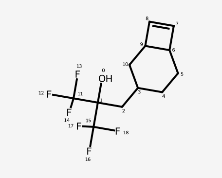 OC(CC1CCC2C=CC2C1)(C(F)(F)F)C(F)(F)F